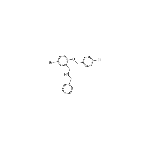 Clc1ccc(COc2ccc(Br)cc2CNCc2ccccc2)cc1